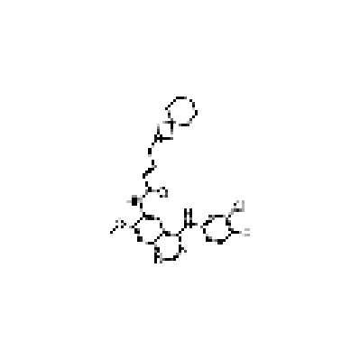 COc1cc2ncnc(Nc3ccc(F)c(Cl)c3)c2cc1NC(=O)C=CCN1CC2(CCCCC2)C1